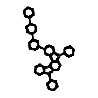 c1ccc(-c2ccc(-c3cccc(-c4ccc5c(c4)c4c6c7ccccc7n(-c7ccccc7)c6ccc4n5-c4ccccc4)c3)cc2)cc1